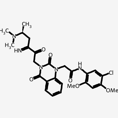 COc1cc(OC)c(NC(=O)Cn2c(=O)n(CC(=O)C(=N)C[C@H](C)N(C)C)c(=O)c3ccccc32)cc1Cl